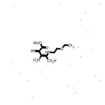 COC(=O)C(=N)/C(=C(\NCCOCC(F)(F)F)C(=O)O)[N+](=O)[O-]